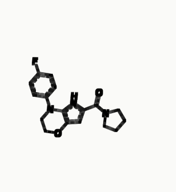 O=C(c1cc2c([nH]1)N(c1ccc(F)cc1)CCO2)N1CCCC1